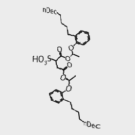 CCCCCCCCCCCCCCc1ccccc1OC(C)OC(=O)CC(C(=O)OC(C)Oc1ccccc1CCCCCCCCCCCCCC)S(=O)(=O)O